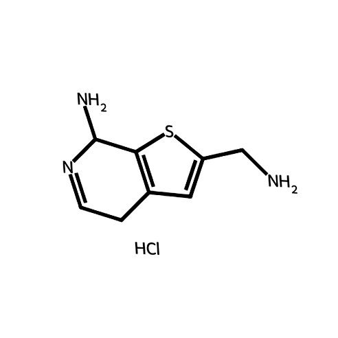 Cl.NCc1cc2c(s1)C(N)N=CC2